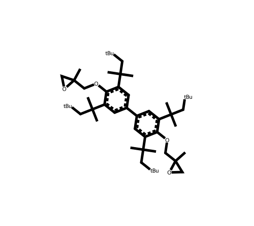 CC(C)(C)CC(C)(C)c1cc(-c2cc(C(C)(C)CC(C)(C)C)c(OCC3(C)CO3)c(C(C)(C)CC(C)(C)C)c2)cc(C(C)(C)CC(C)(C)C)c1OCC1(C)CO1